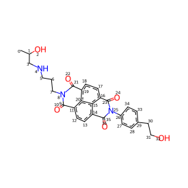 CC(O)CNCCCN1C(=O)c2ccc3c4c(ccc(c24)C1=O)C(=O)N(c1ccc(CCO)cc1)C3=O